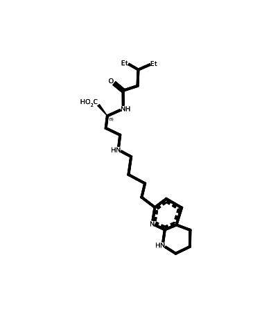 CCC(CC)CC(=O)N[C@@H](CCNCCCCc1ccc2c(n1)NCCC2)C(=O)O